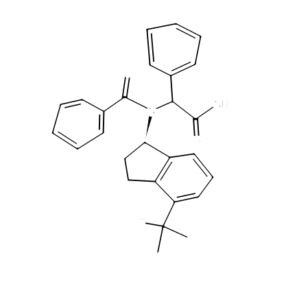 NC(=O)C(c1ccccc1)N(C(=O)c1ccccc1)[C@@H]1CCc2c1cccc2C(F)(F)F